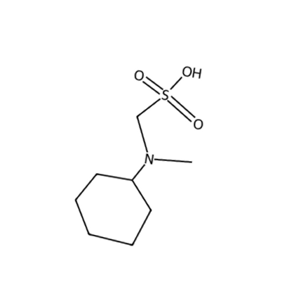 CN(CS(=O)(=O)O)C1CCCCC1